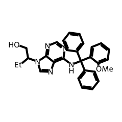 CCC(CO)n1cnc2c(NC(c3ccccc3)(c3ccccc3)c3ccccc3OC)ncnc21